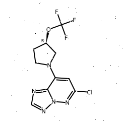 FC(F)(F)O[C@@H]1CCN(c2cc(Cl)nn3ncnc23)C1